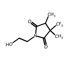 CC1C(=O)N(CCO)C(=O)C1(C)C(F)(F)F